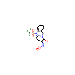 O=C1C(=NO)CCCN1Cc1ccccc1NS(=O)(=O)C(F)(F)F